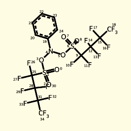 O=S(=O)(ON(OS(=O)(=O)C(F)(F)C(F)(F)C(F)(F)C(F)(F)F)c1ccccc1)C(F)(F)C(F)(F)C(F)(F)C(F)(F)F